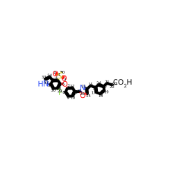 CS(=O)(=O)c1c(Oc2cccc(-c3nc(Cc4cccc(CCC(=O)O)c4)co3)c2)c(F)cc2[nH]ccc12